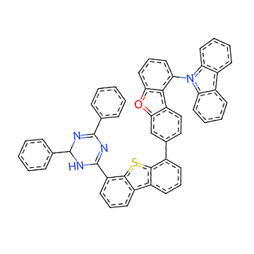 c1ccc(C2=NC(c3ccccc3)NC(c3cccc4c3sc3c(-c5ccc6c(c5)oc5cccc(-n7c8ccccc8c8ccccc87)c56)cccc34)=N2)cc1